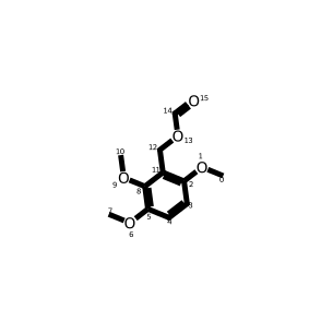 COc1ccc(OC)c(OC)c1COC=O